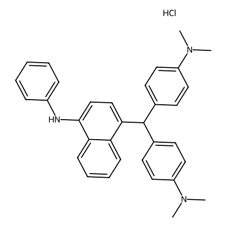 CN(C)c1ccc(C(c2ccc(N(C)C)cc2)c2ccc(Nc3ccccc3)c3ccccc23)cc1.Cl